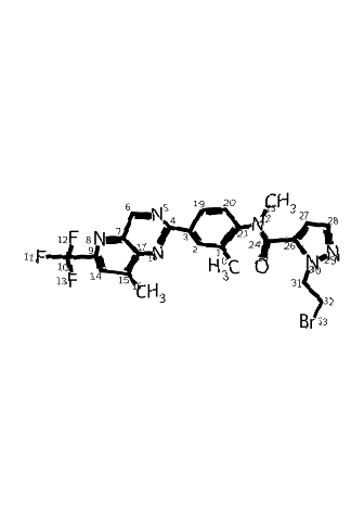 Cc1cc(-c2ncc3nc(C(F)(F)F)cc(C)c3n2)ccc1N(C)C(=O)c1ccnn1CCBr